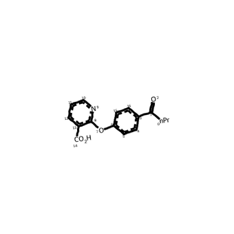 CCCC(=O)c1ccc(Oc2ncccc2C(=O)O)cc1